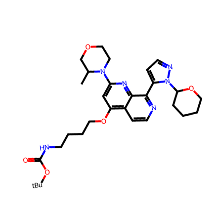 CC1COCCN1c1cc(OCCCCNC(=O)OC(C)(C)C)c2ccnc(-c3ccnn3C3CCCCO3)c2n1